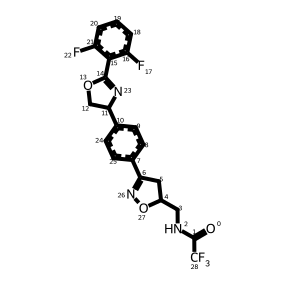 O=C(NCC1CC(c2ccc(C3COC(c4c(F)cccc4F)=N3)cc2)=NO1)C(F)(F)F